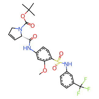 COc1cc(NC(=O)[C@@H]2C=CCN2C(=O)OC(C)(C)C)ccc1S(=O)(=O)Nc1cccc(C(F)(F)F)c1